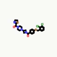 O=C(c1ccc(SCc2cccc(Cl)c2Cl)cc1)N1CC(N2CCN(C(=O)c3nccs3)CC2)C1